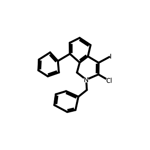 ClC1=C(I)c2cccc(-c3ccccc3)c2CN1Cc1ccccc1